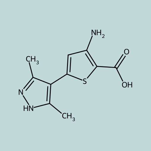 Cc1n[nH]c(C)c1-c1cc(N)c(C(=O)O)s1